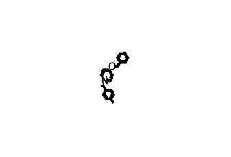 Cc1ccc(CN2CCC(OCc3ccccc3)CC2)cc1